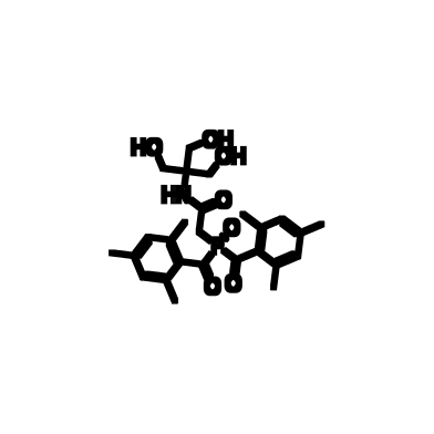 Cc1cc(C)c(C(=O)P(=O)(CC(=O)NC(CO)(CO)CO)C(=O)c2c(C)cc(C)cc2C)c(C)c1